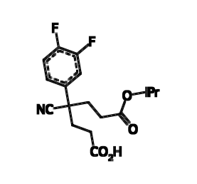 CC(C)OC(=O)CCC(C#N)(CCC(=O)O)c1ccc(F)c(F)c1